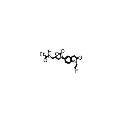 CCC(=O)NCC1CN(c2ccc3c(c2)CC(=O)N3CCF)C(=O)O1